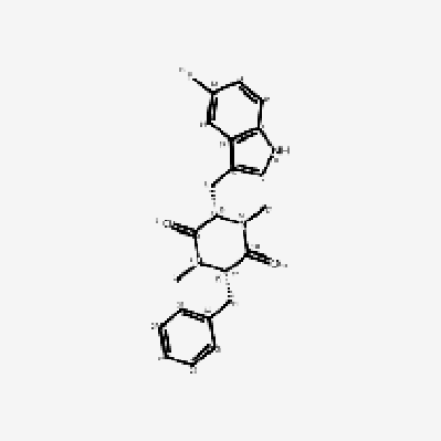 CN1C(=O)[C@H](Cc2c[nH]c3ccc(F)cc23)N(C)C(=O)[C@@H]1Cc1ccccc1